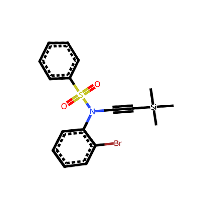 C[Si](C)(C)C#CN(c1ccccc1Br)S(=O)(=O)c1ccccc1